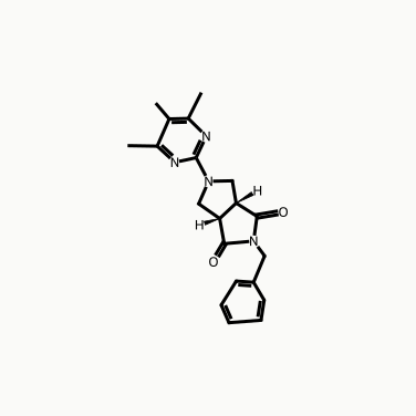 Cc1nc(N2C[C@@H]3C(=O)N(Cc4ccccc4)C(=O)[C@@H]3C2)nc(C)c1C